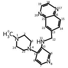 CN1CCN(c2ccncc2NCc2ccc3nccnc3c2)CC1